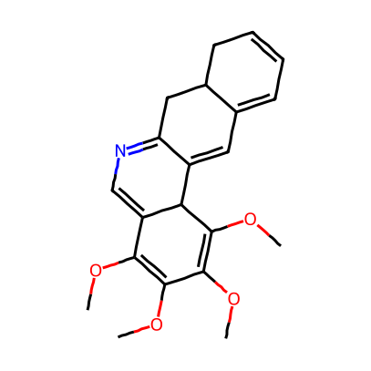 COC1=C(OC)C(OC)=C(OC)C2C3=CC4=CC=CCC4CC3=NC=C12